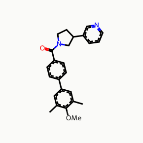 COc1c(C)cc(-c2ccc(C(=O)N3CCC(c4cccnc4)C3)cc2)cc1C